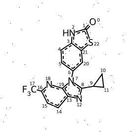 O=c1[nH]c2ccc(-n3c(C4CC4)nc4ccc(C(F)(F)F)nc43)cc2s1